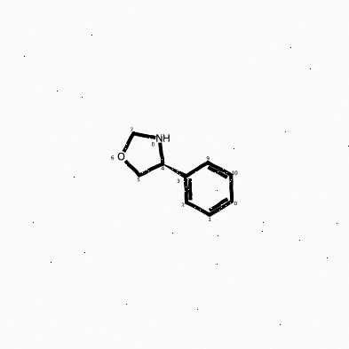 c1ccc([C@H]2COCN2)cc1